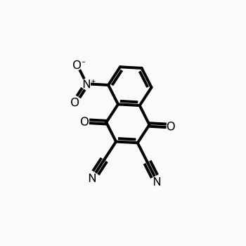 N#CC1=C(C#N)C(=O)c2c(cccc2[N+](=O)[O-])C1=O